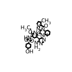 CCOc1ncc(-c2c(N)ncnc2NC(C)c2nn3ccc(C)c3c(=O)n2-c2ccccc2)cc1NS(=O)(=O)c1ccc(O)cc1